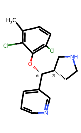 Cc1ccc(Cl)c(O[C@@H](c2cccnc2)[C@H]2CCNC2)c1Cl